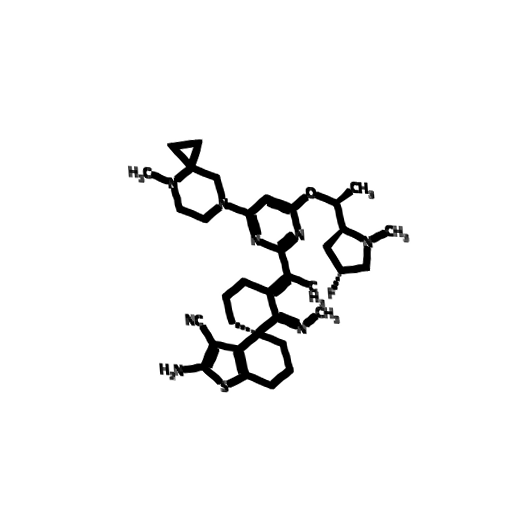 C/N=C1\C(=C(/C)c2nc(O[C@@H](C)[C@@H]3C[C@@H](F)CN3C)cc(N3CCN(C)C4(CC4)C3)n2)CCC[C@@]12CCCc1sc(N)c(C#N)c12